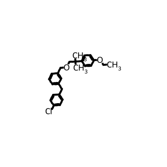 CCOc1ccc(C(C)(C)COCc2cccc(Cc3ccc(Cl)cc3)c2)cc1